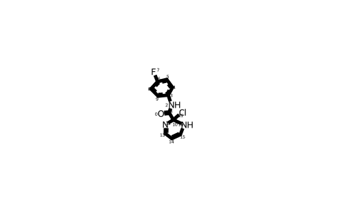 O=C(Nc1ccc(F)cc1)C1(Cl)N=CC=CN1